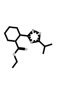 CCOC(=O)C1CCCCC1c1noc(C(C)C)n1